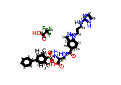 Cc1cc(-c2ccccc2)cc(C)c1S(=O)(=O)NC(CNC(=O)c1ccc2c(cnn2CCCNc2ncc[nH]2)c1)C(=O)O.O=C(O)C(F)(F)F